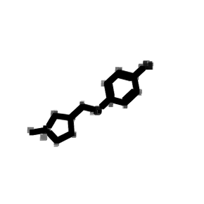 CCc1ccc(OCC2CCN(C)C2)cc1